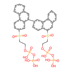 O=P(O)(O)OP(=O)(O)OCCS(=O)(=O)c1ccc2c(c1)c(-c1ccc3c(S(=O)(=O)CCOP(=O)(O)OP(=O)(O)O)cc4ccccc4c3c1)cc1ccccc12